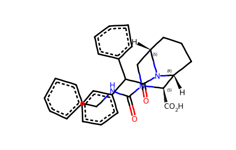 O=C(O)[C@@H]1[C@H]2CCC[C@@H](CN1C(=O)NCc1ccccc1)N2C(=O)C(c1ccccc1)c1ccccc1